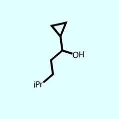 CC(C)CCC(O)C1CC1